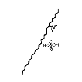 CCCCCCCCCCCCCCCCCCC(CCCCCCC)N(C)C.O=S(=O)(O)O